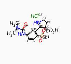 CCS(=O)(=O)c1ccc(NC(=O)N(C)C)cc1C1NCCC1C(=O)O.Cl